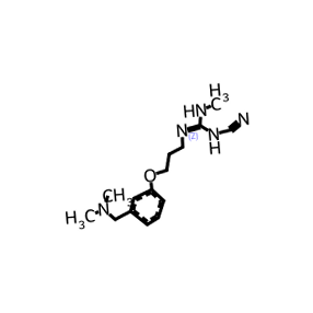 CN/C(=N/CCCOc1cccc(CN(C)C)c1)NC#N